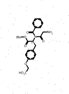 CC(C)(C)OC(=O)[C@H](Cc1ccc(OCC(=O)O)cc1)N(C(=O)CN)C(=O)c1ccccc1